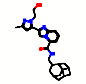 Cc1cc(-c2cn3c(C(=O)NCC45CC6CC7CC(C4)C7(C6)C5)cccc3n2)n(CCO)n1